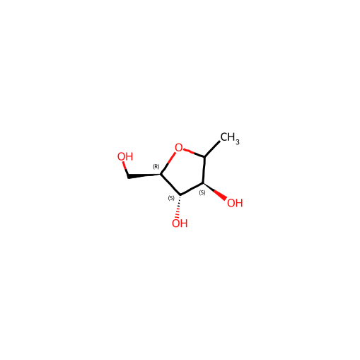 CC1O[C@H](CO)[C@@H](O)[C@@H]1O